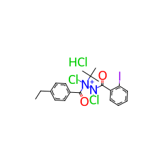 CCc1ccc(C(=O)[N+](Cl)(N(Cl)C(=O)c2ccccc2I)C(C)(C)C)cc1.Cl